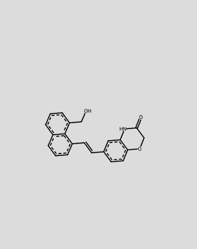 O=C1COc2ccc(C=Cc3cccc4cccc(CO)c34)cc2N1